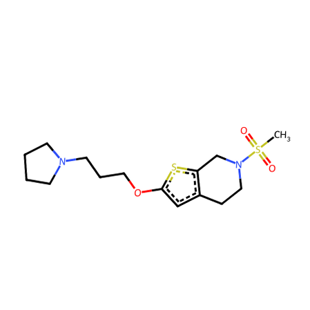 CS(=O)(=O)N1CCc2cc(OCCCN3CCCC3)sc2C1